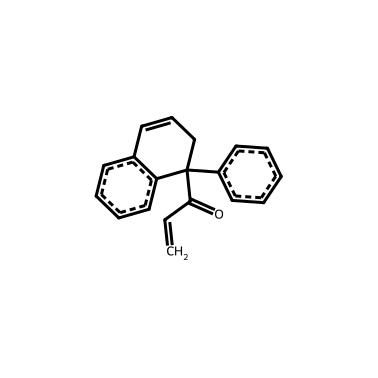 C=CC(=O)C1(c2ccccc2)CC=Cc2ccccc21